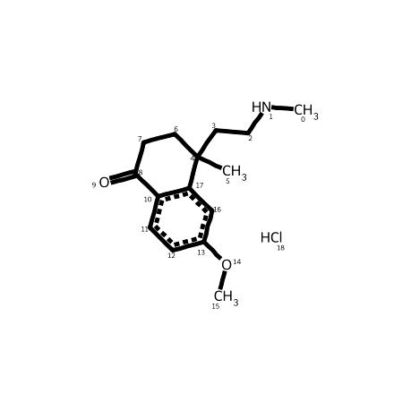 CNCCC1(C)CCC(=O)c2ccc(OC)cc21.Cl